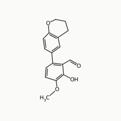 COc1ccc(-c2ccc3c(c2)CCCO3)c(C=O)c1O